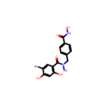 CCCN(Cc1ccc(C(=O)NO)cc1)C(=O)c1cc(C(C)C)c(O)cc1O